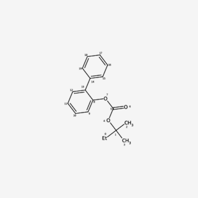 CCC(C)(C)OC(=O)Oc1ccccc1-c1ccccc1